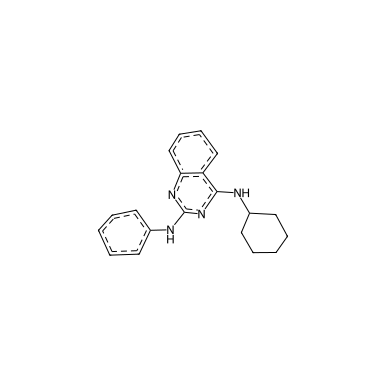 c1ccc(Nc2nc(NC3CCCCC3)c3ccccc3n2)cc1